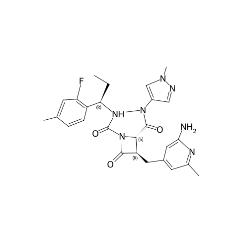 CC[C@@H](NC(=O)N1C(=O)[C@H](Cc2cc(C)nc(N)c2)[C@H]1C(=O)N(C)c1cnn(C)c1)c1ccc(C)cc1F